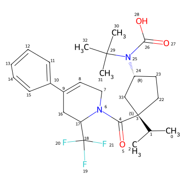 CC(C)[C@]1(C(=O)N2CC=C(c3ccccc3)CC2C(F)(F)F)CC[C@@H](N(C(=O)O)C(C)(C)C)C1